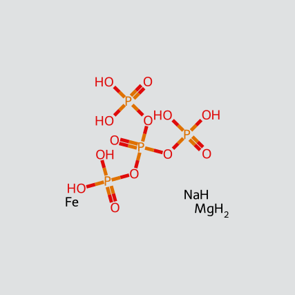 O=P(O)(O)OP(=O)(OP(=O)(O)O)OP(=O)(O)O.[Fe].[MgH2].[NaH]